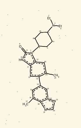 CCN(CC)C1CCC(n2c(=O)[nH]c3cc(-c4cc(C)c5ncnn5c4)c(C)cc32)CC1